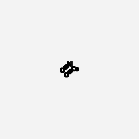 [O]=[Co].[O]=[Ni]